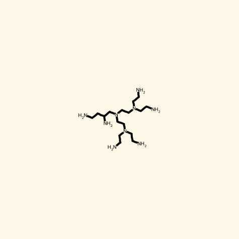 NCCC(N)CN(CCN(CCN)CCN)CCN(CCN)CCN